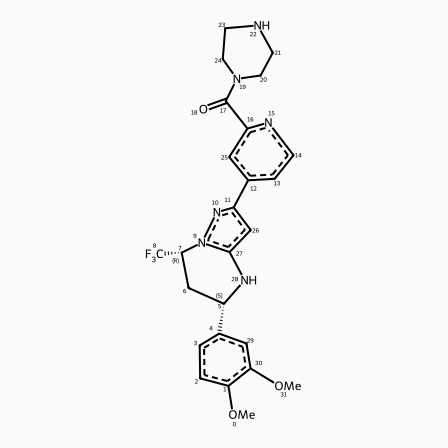 COc1ccc([C@@H]2C[C@H](C(F)(F)F)n3nc(-c4ccnc(C(=O)N5CCNCC5)c4)cc3N2)cc1OC